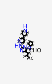 CC(=O)/C(C)=C(\C)c1cnc(Nc2ccc(C3CCNCC3)cn2)nc1N(C=O)C1CCCC1